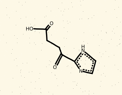 O=C(O)CCC(=O)c1ncc[nH]1